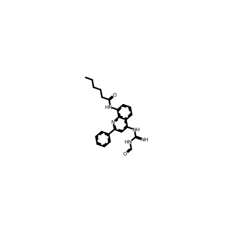 CCCCCC(=O)Nc1cccc2c(NC(=N)NC=O)cc(-c3ccccc3)nc12